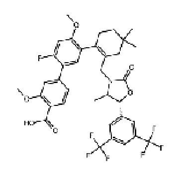 COc1cc(-c2cc(C3=C(CN4C(=O)O[C@H](c5cc(C(F)(F)F)cc(C(F)(F)F)c5)C4C)CC(C)(C)CC3)c(OC)cc2F)ccc1C(=O)O